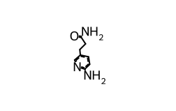 NC(=O)CCc1ccc(N)nc1